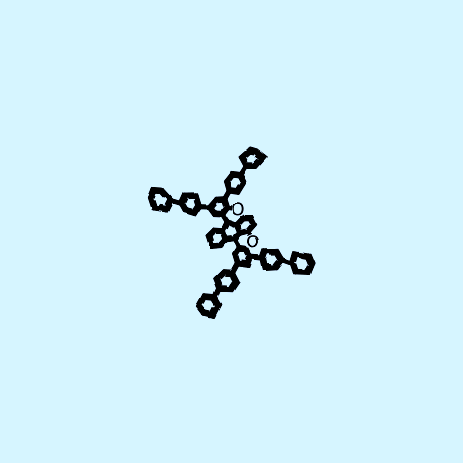 c1ccc(-c2ccc(-c3cc(-c4ccc(-c5ccccc5)cc4)c4c(c3)-c3c5ccccc5c5c6c(ccc(c36)O4)Oc3c(-c4ccc(-c6ccccc6)cc4)cc(-c4ccc(-c6ccccc6)cc4)cc3-5)cc2)cc1